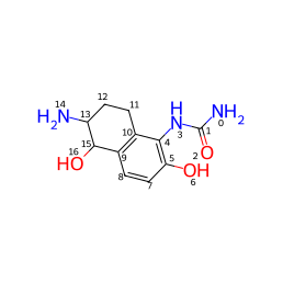 NC(=O)Nc1c(O)ccc2c1CCC(N)C2O